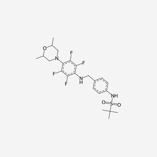 CC1CN(c2c(F)c(F)c(NCc3ccc(NS(=O)(=O)C(C)(C)C)cc3)c(F)c2F)CC(C)O1